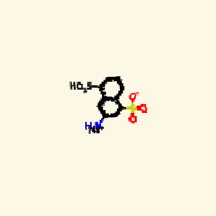 Nc1cc(S(=O)(=O)[O-])c2cccc(S(=O)(=O)O)c2c1.[Na+]